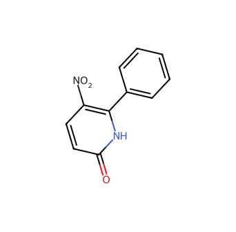 O=c1ccc([N+](=O)[O-])c(-c2ccccc2)[nH]1